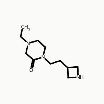 CCN1CCN(CCC2CNC2)C(=O)C1